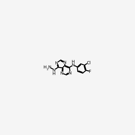 NNc1ncnc2c(Nc3ccc(F)c(Cl)c3)ncnc12